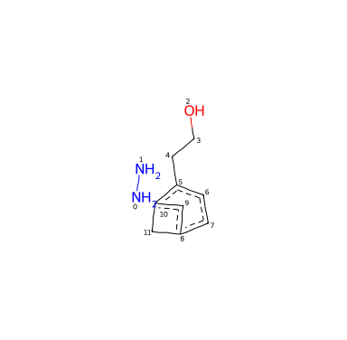 NN.OCCc1ccc2cc1C2